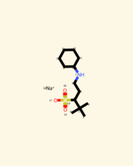 CC(C)(C)C(CCNC1CCCCC1)S(=O)(=O)[O-].[Na+]